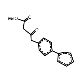 COC(=O)CC(=O)Cc1ccc(-c2ccccc2)cc1